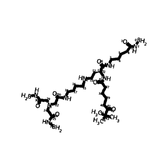 BNC(=O)CCCCNC(=O)[C@H](CCNCCCCNC(=O)CN(CC(=O)NB)CC(=O)NB)NC(=O)CCCCC(=O)C(C)(C)C